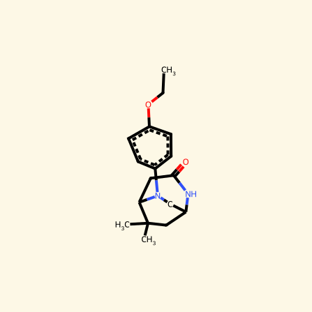 CCOc1ccc(N2CC3CC(C)(C)C2CC(=O)N3)cc1